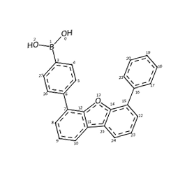 OB(O)c1ccc(-c2cccc3c2oc2c(-c4ccccc4)cccc23)cc1